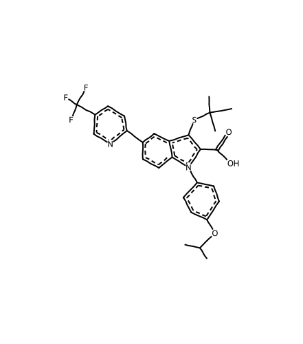 CC(C)Oc1ccc(-n2c(C(=O)O)c(SC(C)(C)C)c3cc(-c4ccc(C(F)(F)F)cn4)ccc32)cc1